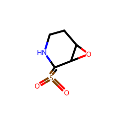 O=S(=O)=C1NCCC2OC12